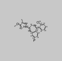 COC(=O)C(C)=NNC1=Nc2cc(F)ccc2C(c2ccccc2Cl)=NC1